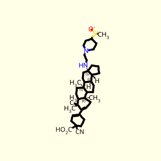 C[S+]([O-])C1CCN(CCN[C@]23CCC[C@@H]2[C@H]2CCC4[C@@](C)(CCC5C(C)(C)C(C6=CCC(C#N)(C(=O)O)CC6)=CC[C@@]54C)C2CC3)CC1